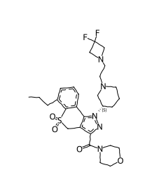 CCCc1cccc2c1S(=O)(=O)Cc1c(C(=O)N3CCOCC3)nn([C@H]3CCCN(CCN4CC(F)(F)C4)C3)c1-2